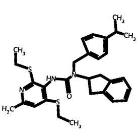 CCSc1cc(C)nc(SCC)c1NC(=O)N(Cc1ccc(C(C)C)cc1)C1Cc2ccccc2C1